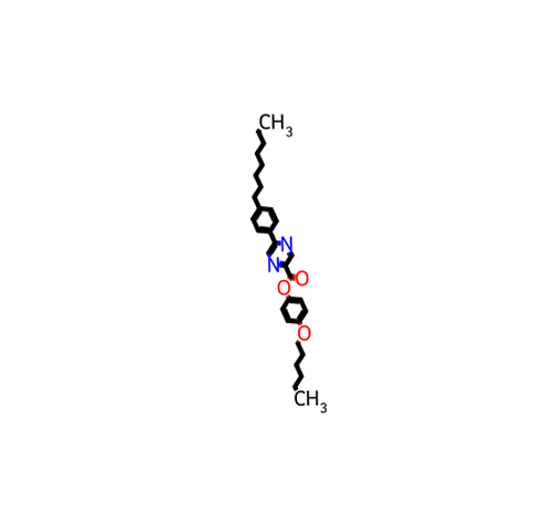 CCCCCCCCc1ccc(-c2cnc(C(=O)Oc3ccc(OCCCCCC)cc3)cn2)cc1